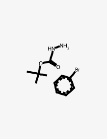 Brc1ccccc1.CC(C)(C)OC(=O)NN